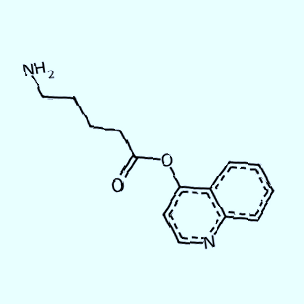 NCCCCC(=O)Oc1ccnc2ccccc12